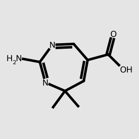 CC1(C)C=C(C(=O)O)C=NC(N)=N1